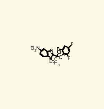 CCn1c(C(C)(C)Oc2c(F)cc(F)cc2F)nc2cc([N+](=O)[O-])ccc21